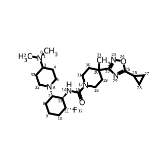 CN(C)C1CCN([C@H]2CCC[C@@H](F)[C@@H]2NC(=O)N2CCC(C)(c3noc(C4CC4)n3)CC2)CC1